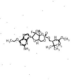 CCOc1nc(N)nc2c1ncn2[C@@H]1O[C@@H]2COP(=O)(OC[C@@H](NC(=O)OC)C(C)(C)C)O[C@H]2[C@@]1(C)F